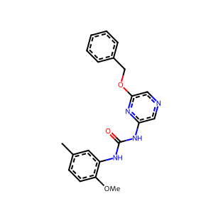 COc1ccc(C)cc1NC(=O)Nc1cncc(OCc2ccccc2)n1